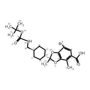 Cc1c(C(=O)O)cc(Br)c2c1OC(C)([C@H]1CC[C@H](CNC(=O)OC(C)(C)C)CC1)O2